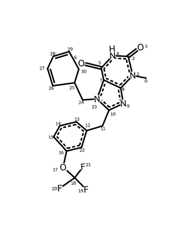 Cn1c(=O)[nH]c(=O)c2c1nc(Cc1cccc(OC(F)(F)F)c1)n2CC1C=CC=CC1